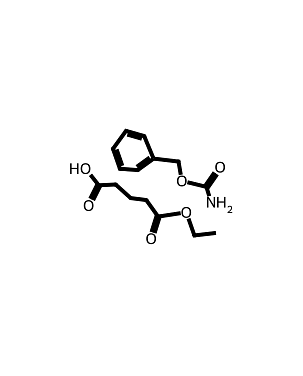 CCOC(=O)CCCC(=O)O.NC(=O)OCc1ccccc1